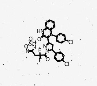 O=C(N1N=C(c2c(-c3ccc(Cl)cc3)c3ccccc3[nH]c2=O)CC1c1ccc(Cl)cc1)C(F)(F)CC1=NOS(=O)N1